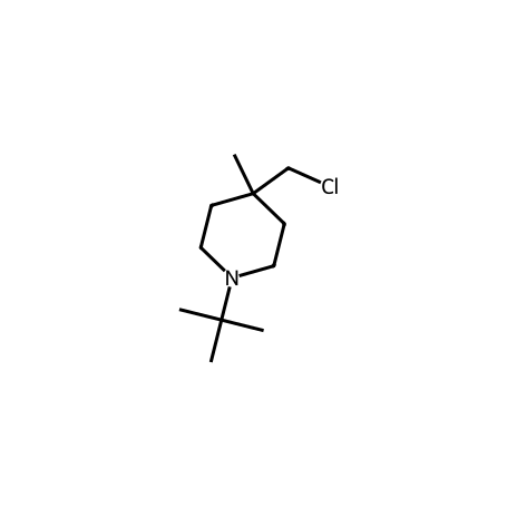 CC1(CCl)CCN(C(C)(C)C)CC1